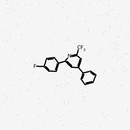 Fc1ccc(-c2cc(-c3ccccc3)cc(C(F)(F)F)n2)cc1